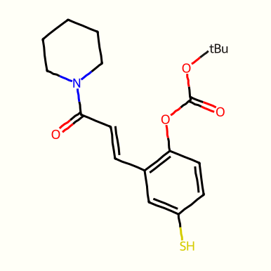 CC(C)(C)OC(=O)Oc1ccc(S)cc1/C=C/C(=O)N1CCCCC1